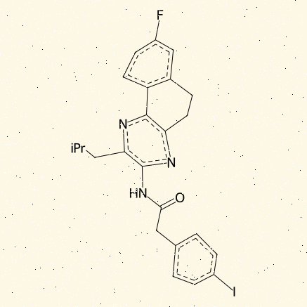 CC(C)Cc1nc2c(nc1NC(=O)Cc1ccc(I)cc1)CCc1cc(F)ccc1-2